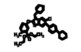 CCOP(=O)(OCC)c1cc(Oc2nc3cc(-c4ccc(C5CCCCC5)cc4)c(Cl)cc3n2Cc2ccccc2)ccc1C